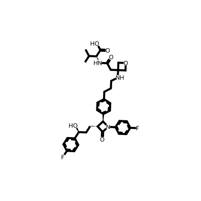 CC(C)[C@@H](NC(=O)CC1(NCCCc2ccc([C@@H]3[C@@H](CC[C@H](O)c4ccc(F)cc4)C(=O)N3c3ccc(F)cc3)cc2)COC1)C(=O)O